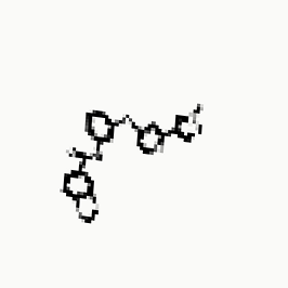 Cn1cc(-c2cc(Oc3cccc(NC(=O)c4ccc5c(c4)OCO5)c3)ccn2)cn1